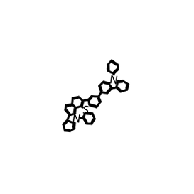 c1ccc(-n2c3ccccc3c3cc(-c4ccc5sc6c(ccc7ccc8c9ccccc9n(-c9ccccc9)c8c76)c5c4)ccc32)cc1